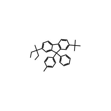 CCC(C)(CC)c1ccc2c(c1)C(c1ccccc1)(c1ccc(C)cc1)c1cc(C(C)(C)C)ccc1-2